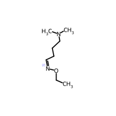 CCO/N=C\CCCN(C)C